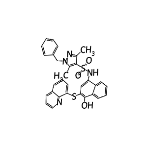 Cc1nn(Cc2ccccc2)c(C)c1S(=O)(=O)Nc1cc(Sc2cccc3cccnc23)c(O)c2ccccc12